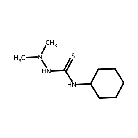 CN(C)NC(=S)NC1CCCCC1